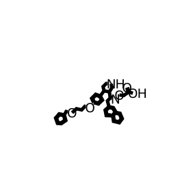 O=C(O)CON=C(Cc1ccc2ccccc2c1)C1CNCCC1c1ccc(OCCCOCc2ccccc2)cc1